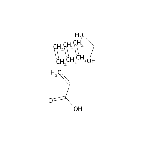 C=C.C=C.C=C.C=CC(=O)O.CCO